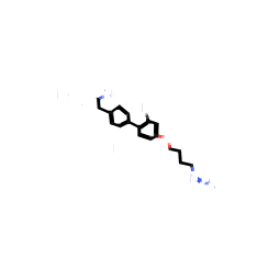 CCc1cc(OCCCCN=[N+]=[N-])ccc1-c1ccc(C[C@H](N)C(=O)O)cc1.Cl